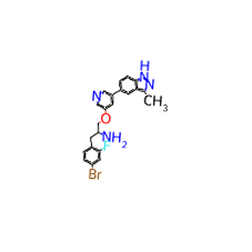 Cc1n[nH]c2ccc(-c3cncc(OC[C@@H](N)Cc4ccc(Br)cc4F)c3)cc12